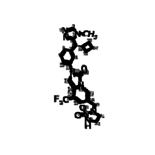 Cn1cnnc1[C@@H](c1cccc(-n2cc3c(C(F)(F)F)cc(CN4CCNS4(=O)=O)cn3c2=O)c1)C1CCC1